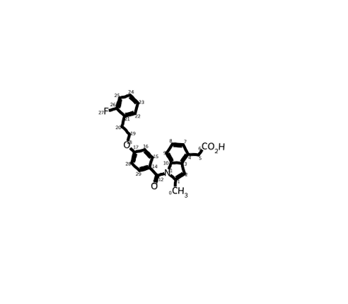 Cc1cc2c(CC(=O)O)cccc2n1C(=O)c1ccc(OCCc2ccccc2F)cc1